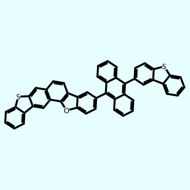 c1ccc2c(c1)sc1ccc(-c3c4ccccc4c(-c4ccc5oc6c7cc8c(cc7ccc6c5c4)sc4ccccc48)c4ccccc34)cc12